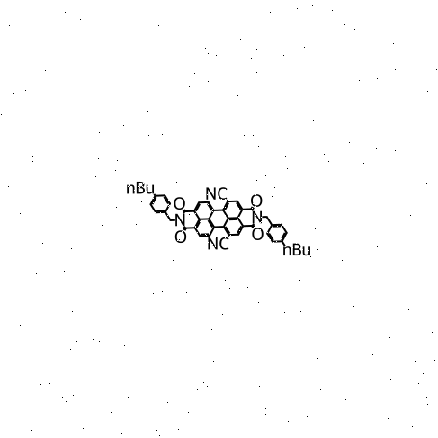 CCCCc1ccc(CN2C(=O)c3ccc4c5c(C#N)cc6c7c(cc(C#N)c(c8ccc(c3c48)C2=O)c75)C(=O)N(Cc2ccc(CCCC)cc2)C6=O)cc1